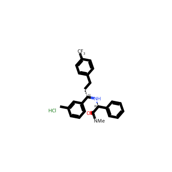 CNC(=O)[C@H](N[C@@H](CCc1ccc(C(F)(F)F)cc1)c1cccc(C)c1)c1ccccc1.Cl